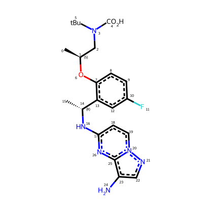 C[C@@H](CN(C(=O)O)C(C)(C)C)Oc1ccc(F)cc1[C@@H](C)Nc1ccn2ncc(N)c2n1